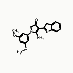 COc1cc(OC)cc(N2CC(=O)C(C3=Nc4ccccc4C3)=C2N)c1